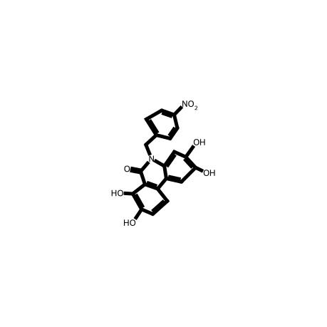 O=c1c2c(O)c(O)ccc2c2cc(O)c(O)cc2n1Cc1ccc([N+](=O)[O-])cc1